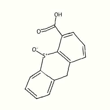 O=C(O)c1cccc2c1[S+]([O-])c1ccccc1C2